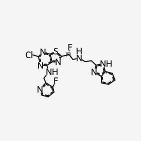 Fc1cccnc1CNc1nc(Cl)nc2sc([C@H](F)CNCCc3nc4ccccc4[nH]3)nc12